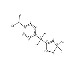 CC(O)c1ccc(C(C)(C)C2=NC(C)(C)CO2)cc1